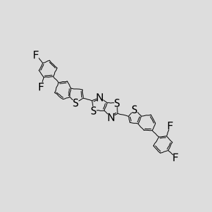 Fc1ccc(-c2ccc3sc(-c4nc5sc(-c6cc7cc(-c8ccc(F)cc8F)ccc7s6)nc5s4)cc3c2)c(F)c1